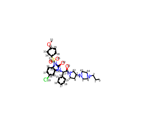 CCCN1CCN([C@H]2CCN(C(=O)C(c3ccccc3)n3c(=O)n(S(=O)(=O)c4ccc(OC)cc4)c4ccc(Cl)cc43)C2)CC1